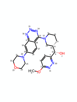 COc1ccc([C@@H](O)[C@H]2CCCN(c3nnnc4cc(N5CCOCC5)ccc34)C2)nn1